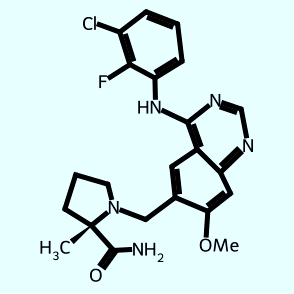 COc1cc2ncnc(Nc3cccc(Cl)c3F)c2cc1CN1CCC[C@@]1(C)C(N)=O